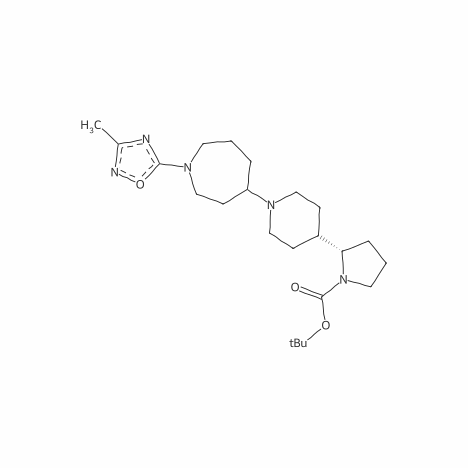 Cc1noc(N2CCCC(N3CCC([C@@H]4CCCN4C(=O)OC(C)(C)C)CC3)CC2)n1